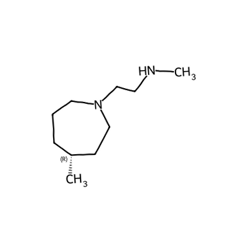 CNCCN1CCC[C@@H](C)CC1